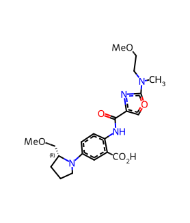 COCCN(C)c1nc(C(=O)Nc2ccc(N3CCC[C@@H]3COC)cc2C(=O)O)co1